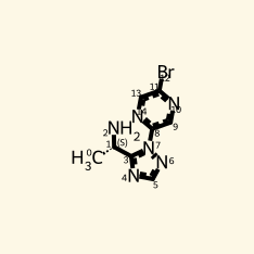 C[C@H](N)c1ncnn1-c1cnc(Br)cn1